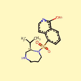 CC(C)[C@@H]1CNCCCN1S(=O)(=O)c1cccc2c(O)nccc12